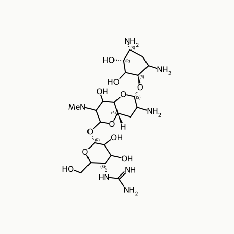 CNC1C(O[C@H]2OC(CO)[C@@H](NC(=N)N)C(O)C2O)O[C@H]2CC(N)[C@@H](O[C@@H]3C(N)C[C@@H](N)[C@@H](O)C3O)OC2C1O